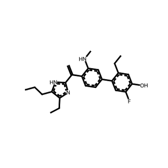 C=C(c1nc(CC)c(CCC)[nH]1)c1ccc(-c2cc(F)c(O)cc2CC)cc1NC